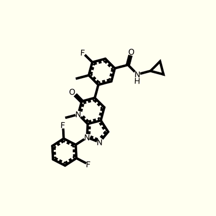 Cc1c(F)cc(C(=O)NC2CC2)cc1-c1cc2cnn(-c3c(F)cccc3F)c2n(C)c1=O